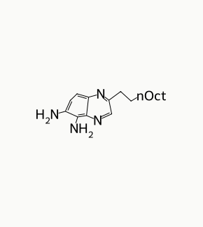 CCCCCCCCCCc1cnc2c(N)c(N)ccc2n1